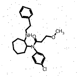 COCCC(=O)N(c1ccc(Cl)cc1)C1CCCCCC1NCCc1ccccc1